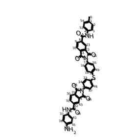 Cc1ccc(NC(=O)c2ccc3c(c2)C(=O)N(c2ccc(Sc4ccc(N5C(=O)c6ccc(C(=O)Nc7ccc(N)cc7)cc6C5=O)cc4)cc2)C3=O)cc1